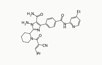 CCc1ccnc(NC(=O)c2ccc(-c3nc(C4CCCCN4C(=O)C(C#N)=CC(C)C)n(N)c3C(N)=O)cc2)c1